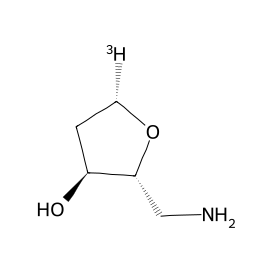 [3H][C@H]1C[C@H](O)[C@@H](CN)O1